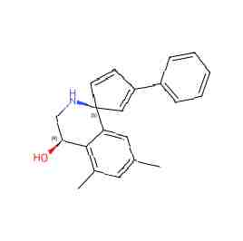 Cc1cc(C)c2c(c1)[C@@]1(C=CC(c3ccccc3)=C1)NC[C@@H]2O